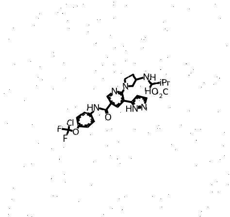 CC(C)C(NC1CCN(c2ncc(C(=O)Nc3ccc(OC(F)(F)Cl)cc3)cc2-c2ccn[nH]2)C1)C(=O)O